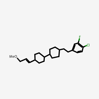 COCC=CC1CCC(C2CCC(CCc3ccc(Cl)c(F)c3)CC2)CC1